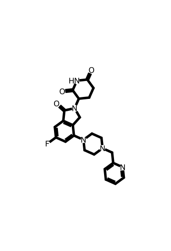 O=C1CCC(N2Cc3c(cc(F)cc3N3CCN(Cc4ccccn4)CC3)C2=O)C(=O)N1